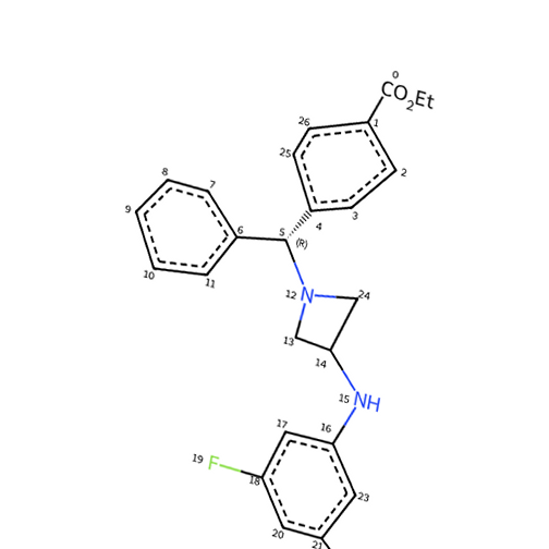 CCOC(=O)c1ccc([C@@H](c2ccccc2)N2CC(Nc3cc(F)cc(F)c3)C2)cc1